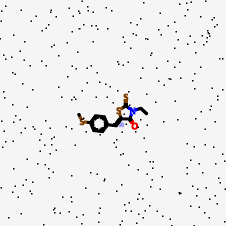 CCN1C(=O)/C(=C/c2ccc(SC)cc2)SC1=S